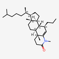 CCC[C@H]1C=C2N(C)C(=O)CC[C@]2(C)[C@H]2CC[C@]3(C)[C@@H]([C@H](C)CCCC(C)C)CC[C@H]3[C@H]12